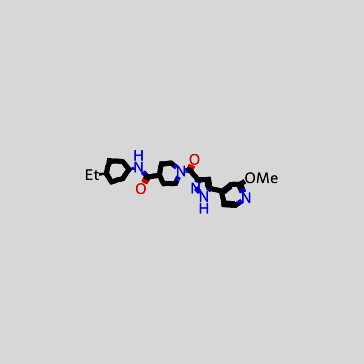 CC[C@H]1CC[C@@H](NC(=O)C2CCN(C(=O)c3cc(-c4ccnc(OC)c4)[nH]n3)CC2)CC1